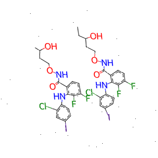 CC(O)CCONC(=O)c1ccc(F)c(F)c1Nc1ccc(I)cc1Cl.CCC(O)CCONC(=O)c1ccc(F)c(F)c1Nc1ccc(I)cc1Cl